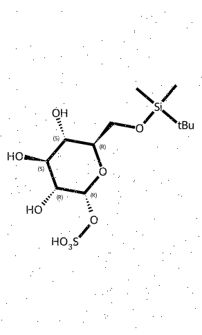 CC(C)(C)[Si](C)(C)OC[C@H]1O[C@H](OS(=O)(=O)O)[C@H](O)[C@@H](O)[C@@H]1O